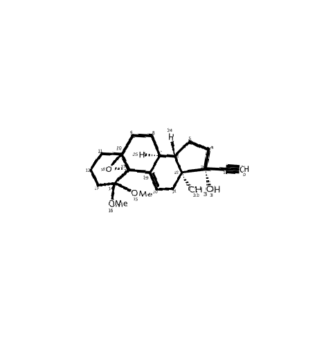 C#C[C@]1(O)CC[C@H]2[C@@H]3CCC45CCCC(OC)(OC)[C@]4(O5)C3=CC[C@@]21C